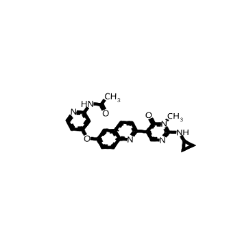 CC(=O)Nc1cc(Oc2ccc3nc(-c4cnc(NC5CC5)n(C)c4=O)ccc3c2)ccn1